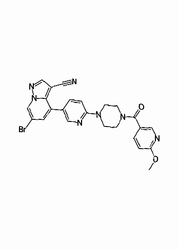 COc1ccc(C(=O)N2CCN(c3ccc(-c4cc(Br)cn5ncc(C#N)c45)cn3)CC2)cn1